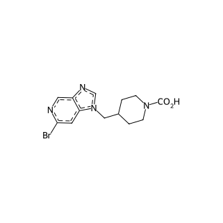 O=C(O)N1CCC(Cn2cnc3cnc(Br)cc32)CC1